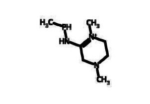 CPNC1=[N+](C)CCN(C)C1